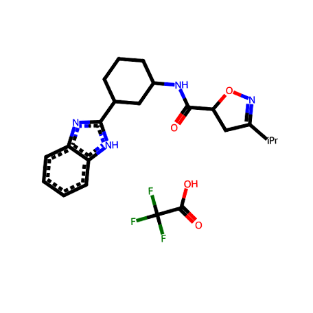 CC(C)C1=NOC(C(=O)NC2CCCC(c3nc4ccccc4[nH]3)C2)C1.O=C(O)C(F)(F)F